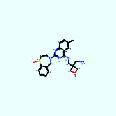 Cc1ccc2nc(N3CC[S+]([O-])c4ccccc4C3)nc(NCC3(CN)COC3)c2c1